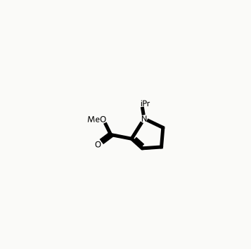 COC(=O)C1=CCCN1C(C)C